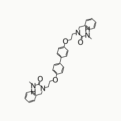 CNC(=O)N(CCOc1ccc(-c2ccc(OCCN(Cc3ccccc3)C(=O)NC)cc2)cc1)Cc1ccccc1